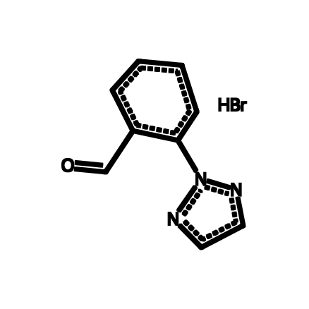 Br.O=Cc1ccccc1-n1nccn1